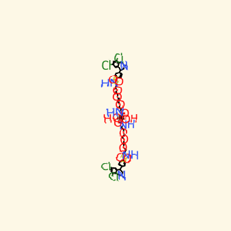 CN1Cc2c(Cl)cc(Cl)cc2C(c2ccc(S(=O)(=O)NCCOCCOCCOCCNC(=O)C(O)[C@@H](O)C(=O)NCCOCCOCCOCCNS(=O)(=O)c3ccc(C4CN(C)Cc5c(Cl)cc(Cl)cc54)cc3)cc2)C1